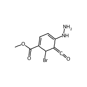 COC(=O)C1=CC=C(NN)C(=C=O)C1Br